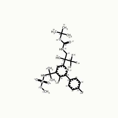 COS(=O)(=O)NC(C)(C)c1cc(C(O)(CNC(=O)OC(C)(C)C)C(F)(F)F)nc(-c2ccc(F)cc2)c1F